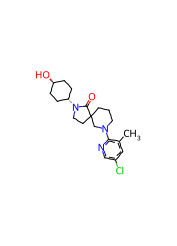 Cc1cc(Cl)cnc1N1CCCC2(CCN([C@H]3CC[C@H](O)CC3)C2=O)C1